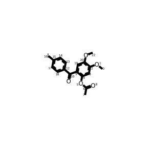 COc1cc(OC(C)=O)c(C(=O)c2ccc(I)cc2)cc1OC